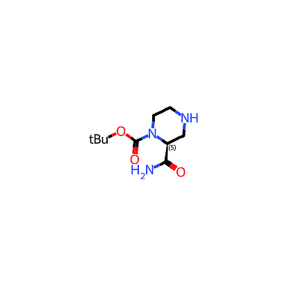 CC(C)(C)OC(=O)N1CCNC[C@H]1C(N)=O